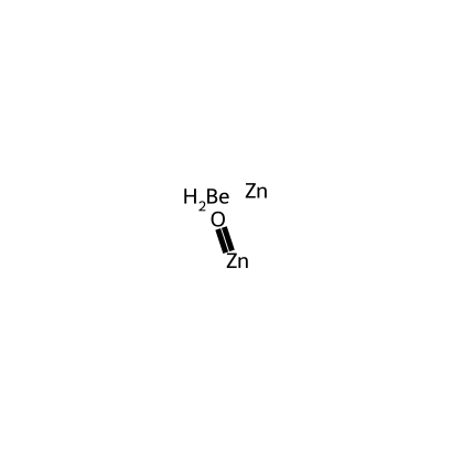 [BeH2].[O]=[Zn].[Zn]